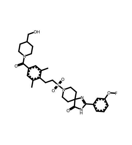 Cc1cc(C(=O)N2CCC(CO)CC2)cc(C)c1CCS(=O)(=O)N1CCC2(CC1)N=C(c1cccc(OF)c1)NC2=O